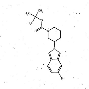 CC(C)(C)OC(=O)N1CCCC(n2cc3ccc(Br)cc3n2)C1